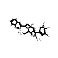 CCC1c2nn(C)c(-c3cc(F)c(F)c(F)c3)c2C[C@@H]2CC(c3cc4ccccc4nn3)N12